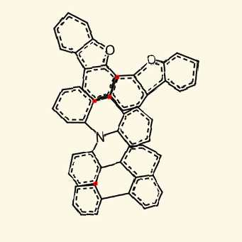 c1ccc(-c2cccc3cccc(-c4ccccc4N(c4ccccc4-c4ccc5c(c4)oc4ccccc45)c4ccccc4-c4ccc5c(c4)oc4ccccc45)c23)cc1